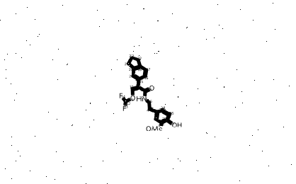 COc1cc(CCNC(=O)C(=COC(F)F)c2ccc3c(c2)CCC3)ccc1O